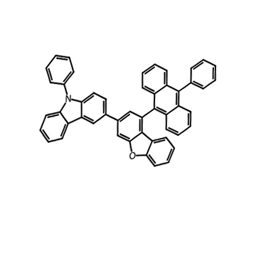 c1ccc(-c2c3ccccc3c(-c3cc(-c4ccc5c(c4)c4ccccc4n5-c4ccccc4)cc4oc5ccccc5c34)c3ccccc23)cc1